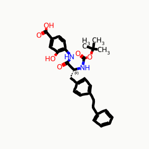 CC(C)(C)OC(=O)N[C@H](Cc1ccc(CCc2ccccc2)cc1)C(=O)Nc1ccc(C(=O)O)cc1O